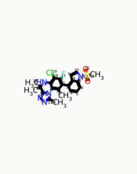 Cc1c(-c2cccc3c2ccn3S(C)(=O)=O)c(F)c(Cl)c2c1-n1c(C)nnc1C(C)(C)N2